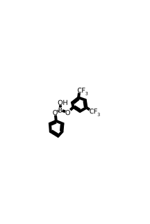 OB(Oc1ccccc1)Oc1cc(C(F)(F)F)cc(C(F)(F)F)c1